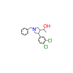 CC(O)C1CN(Cc2ccccc2)CC1c1ccc(Cl)c(Cl)c1